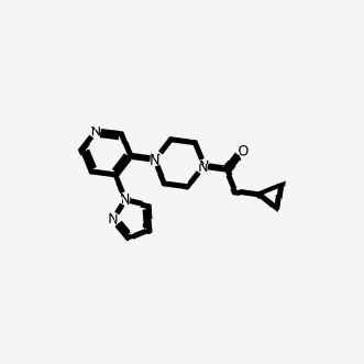 O=C(CC1CC1)N1CCN(c2cnccc2-n2cccn2)CC1